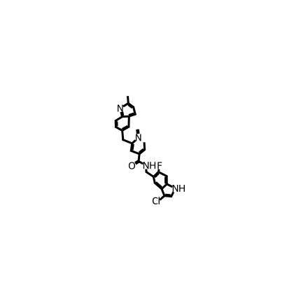 C=N/C(=C\C(=C/C)C(=O)NCc1cc2c(Cl)c[nH]c2cc1F)Cc1ccc2nc(C)ccc2c1